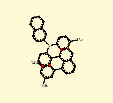 CC(C)(C)c1ccc(N(c2ccc3ccccc3c2)c2ccccc2-c2cccc3cccc(-c4cc(C(C)(C)C)cc(C(C)(C)C)c4)c23)cc1